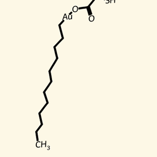 CCCCCCCCCCC[CH2][Au][O]C(=O)CS